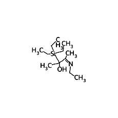 CCN=C(C)C(C)(O)[Si](CC)(CC)CC